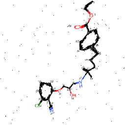 CCOC(=O)c1ccc(CCCC(C)(C)NC[C@@H](O)COc2cccc(Cl)c2C#N)cc1